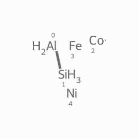 [AlH2][SiH3].[Co].[Fe].[Ni]